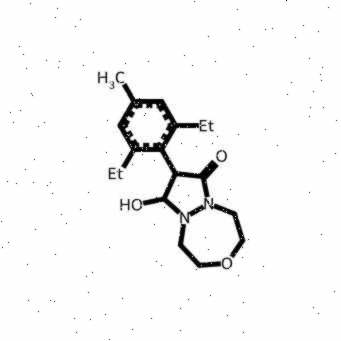 CCc1cc(C)cc(CC)c1C1C(=O)N2CCOCCN2C1O